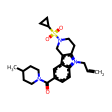 C=CCn1c2c(c3cc(C(=O)N4CCC(C)CC4)ccc31)CN(S(=O)(=O)C1CC1)CC2